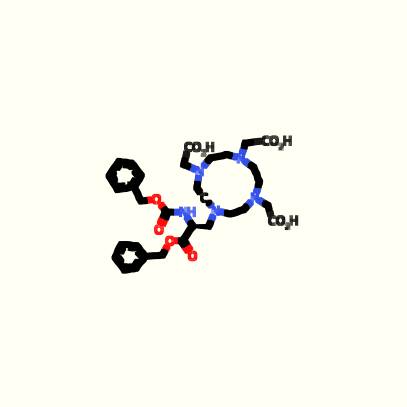 O=C(O)CN1CCN(CC(=O)O)CCN(C[C@H](NC(=O)OCc2ccccc2)C(=O)OCc2ccccc2)CCN(CC(=O)O)CC1